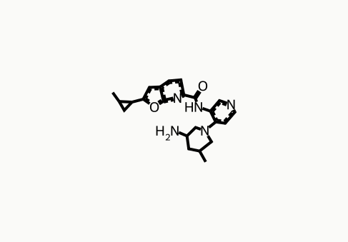 CC1CC(N)CN(c2ccncc2NC(=O)c2ccc3cc(C4CC4C)oc3n2)C1